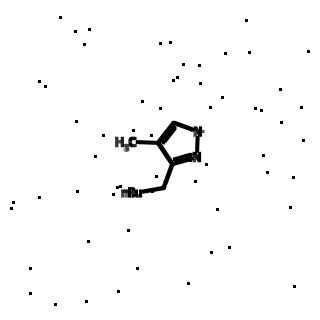 CCCCCC1=N[N]C=C1C